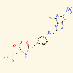 Nc1nc(O)c2nc(CNc3ccc(CC(=O)N[C@H](CCC(=O)O)C(=O)O)cc3)cnc2n1